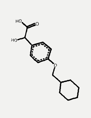 O=C(O)C(O)c1ccc(OCC2CCCCC2)cc1